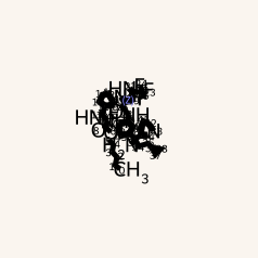 CCCCCCOC(=O)NC(=N)c1cccc(N/C(=C\C(=N)C(F)(F)F)C(=O)Nc2cc(C(N)(CCC3CC3)c3cccnc3)ccc2F)c1